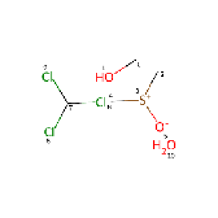 CO.C[S+](C)[O-].ClC(Cl)Cl.O